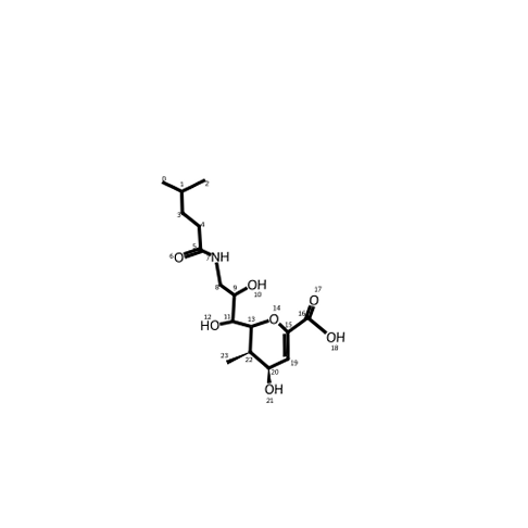 CC(C)CCC(=O)NCC(O)C(O)C1OC(C(=O)O)=C[C@@H](O)[C@H]1C